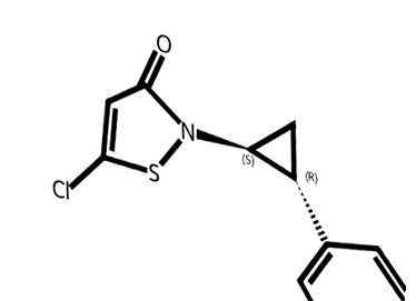 O=c1cc(Cl)sn1[C@H]1C[C@@H]1c1ccccc1